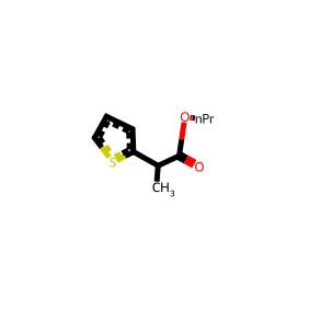 CCCOC(=O)C(C)c1cccs1